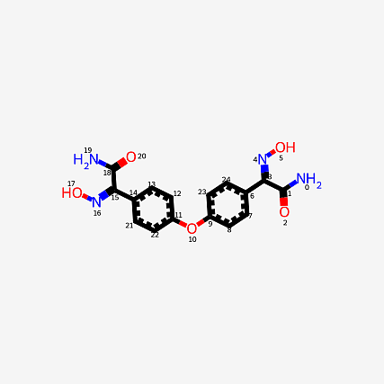 NC(=O)C(=NO)c1ccc(Oc2ccc(C(=NO)C(N)=O)cc2)cc1